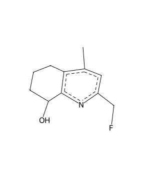 Cc1cc(CF)nc2c1CCCC2O